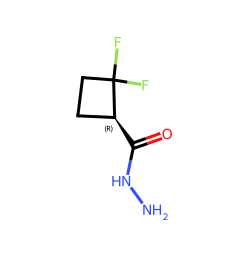 NNC(=O)[C@H]1CCC1(F)F